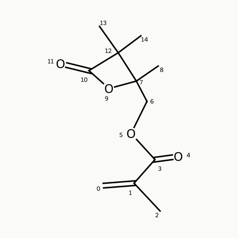 C=C(C)C(=O)OCC1(C)OC(=O)C1(C)C